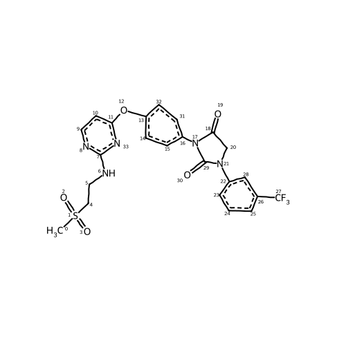 CS(=O)(=O)CCNc1nccc(Oc2ccc(N3C(=O)CN(c4cccc(C(F)(F)F)c4)C3=O)cc2)n1